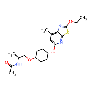 CCOc1nc2c(C)cc(O[C@H]3CC[C@H](OC[C@H](C)NC(C)=O)CC3)nc2s1